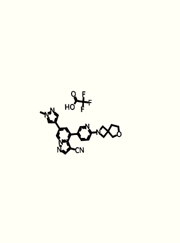 Cn1cc(-c2cc(-c3ccc(N4CC5(CCOC5)C4)nc3)c3c(C#N)cnn3c2)cn1.O=C(O)C(F)(F)F